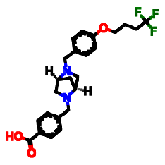 O=C(O)c1ccc(CN2C[C@@H]3C[C@H]2CN3Cc2ccc(OCCCC(F)(F)F)cc2)cc1